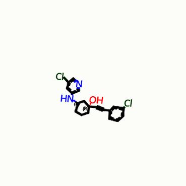 O[C@]1(C#Cc2cccc(Cl)c2)CCC[C@@H](Nc2cncc(Cl)c2)C1